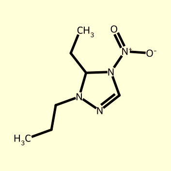 CCCN1N=CN([N+](=O)[O-])C1CC